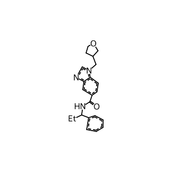 CCC(NC(=O)c1ccc2c(c1)ncn2CC1CCOC1)c1ccccc1